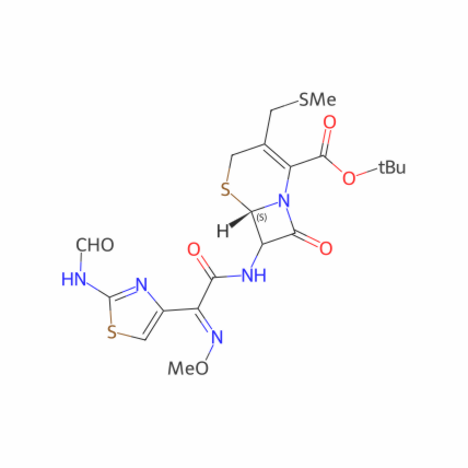 CON=C(C(=O)NC1C(=O)N2C(C(=O)OC(C)(C)C)=C(CSC)CS[C@@H]12)c1csc(NC=O)n1